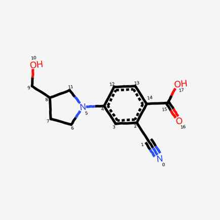 N#Cc1cc(N2CCC(CO)C2)ccc1C(=O)O